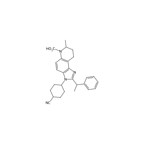 CC(c1ccccc1)c1nc2c3c(ccc2n1C1CCC(C#N)CC1)N(C(=O)O)C(C)CC3